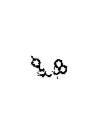 Cc1ccc(-c2nc(CN[C@H](C)c3cccc4ccccc34)cs2)cc1